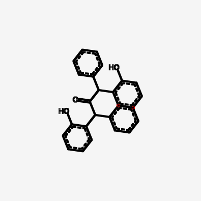 O=C(C(c1ccccc1)c1ccccc1O)C(c1ccccc1)c1ccccc1O